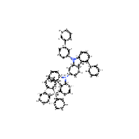 c1ccc(-c2cccc(-n3c4cc(-n5c6ccccc6c6c([Si](c7ccccc7)(c7ccccc7)c7ccccc7)cccc65)ccc4c4c(-c5ccccc5)cccc43)c2)cc1